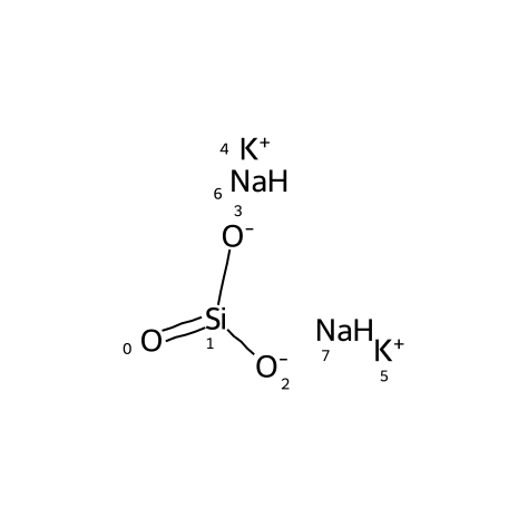 O=[Si]([O-])[O-].[K+].[K+].[NaH].[NaH]